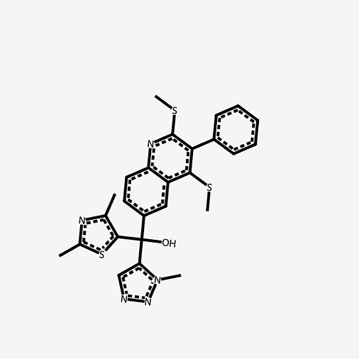 CSc1nc2ccc(C(O)(c3sc(C)nc3C)c3cnnn3C)cc2c(SC)c1-c1ccccc1